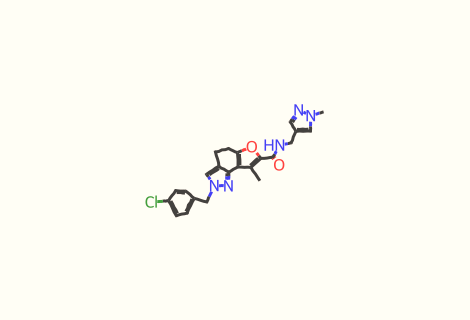 Cc1c(C(=O)NCc2cnn(C)c2)oc2c1-c1nn(Cc3ccc(Cl)cc3)cc1CC2